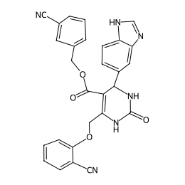 N#Cc1cccc(COC(=O)C2=C(COc3ccccc3C#N)NC(=O)NC2c2ccc3[nH]cnc3c2)c1